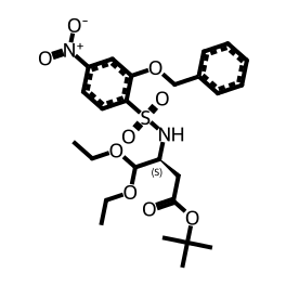 CCOC(OCC)[C@H](CC(=O)OC(C)(C)C)NS(=O)(=O)c1ccc([N+](=O)[O-])cc1OCc1ccccc1